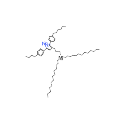 CCCCCCCCCCCCC[CH2][Ni][CH2]CCCCCCCCCCCCC.CCCCCCc1ccc(C2=C(CCCC)C=C(c3ccc(CCCC)cc3)[N+]2=[N-])cc1